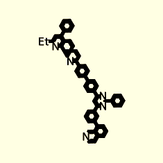 CCc1cc(-c2ccccc2)c2c(n1)C1C3N=C(c4ccc(-c5ccc(-c6cc(-c7cccc(-c8cccc9ccncc89)c7)nc(-c7ccccc7)n6)cc5)cc4)C=CC31C=C2